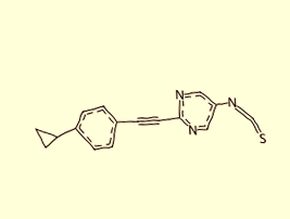 S=C=Nc1cnc(C#Cc2ccc(C3CC3)cc2)nc1